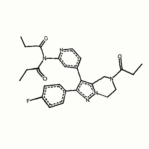 CCC(=O)N1CCn2nc(-c3ccc(F)cc3)c(-c3ccnc(N(C(=O)CC)C(=O)CC)c3)c2C1